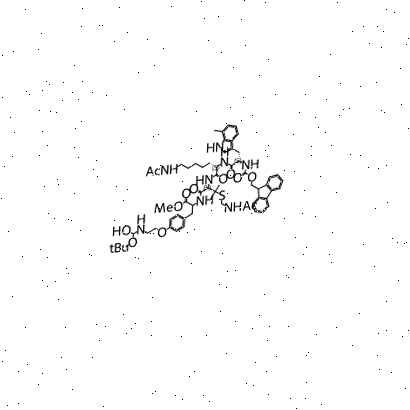 COC(=O)C(Cc1ccc(OCCNC(O)OC(C)(C)C)cc1)NC(=O)[C@@H](NC(=O)[C@H](CCCCCNC(C)=O)NC(=O)[C@H](Cc1c[nH]c2c(C)cccc12)NC(=O)OCC1c2ccccc2-c2ccccc21)C(C)(C)SCNC(C)=O